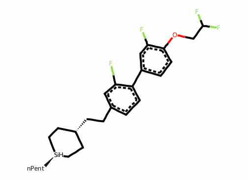 CCCCC[Si@H]1CC[C@H](CCc2ccc(-c3ccc(OCC(F)F)c(F)c3)c(F)c2)CC1